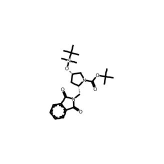 CC(C)(C)OC(=O)N1C[C@@H](O[Si](C)(C)C(C)(C)C)C[C@H]1CN1C(=O)c2ccccc2C1=O